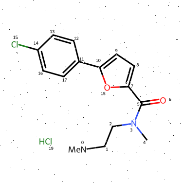 CNCCN(C)C(=O)c1ccc(-c2ccc(Cl)cc2)o1.Cl